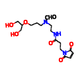 O=CN(CCCOC(CO)CO)CCNC(=O)CCN1C(=O)C=CC1=O